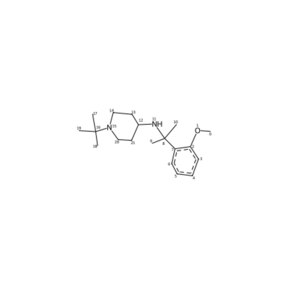 COc1ccccc1C(C)(C)NC1CCN(C(C)(C)C)CC1